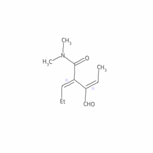 C/C=C(C=O)\C(=C/CC)C(=O)N(C)C